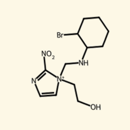 O=[N+]([O-])C1=NC=C[N+]1(CCO)CNC1CCCCC1Br